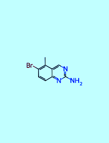 Cc1c(Br)ccc2nc(N)ncc12